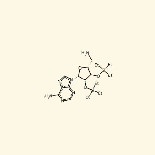 CC[Si](CC)(CC)O[C@@H]1[C@H](O[Si](CC)(CC)CC)[C@@H](CN)O[C@H]1n1cnc2c(N)ncnc21